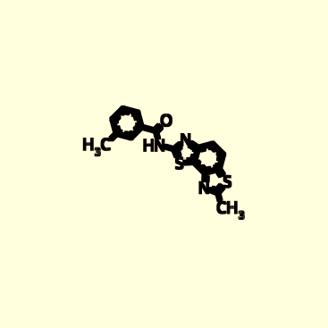 Cc1cccc(C(=O)Nc2nc3ccc4sc(C)nc4c3s2)c1